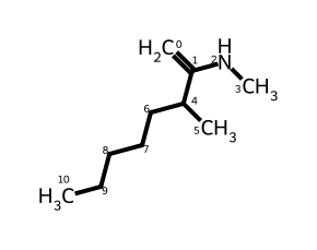 C=C(NC)C(C)CCCCC